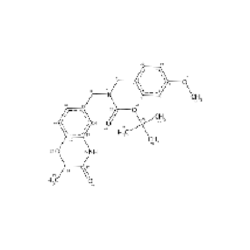 COc1ccc(CN(Cc2ccc3c(c2)NC(=O)C(C)O3)C(=O)OC(C)(C)C)cc1